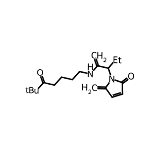 C=C(NCCCCC(=O)C(C)(C)C)C(CC)N1C(=C)C=CC1=O